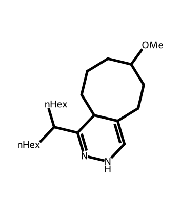 CCCCCCC(CCCCCC)C1=NNC=C2CCC(OC)CCCC21